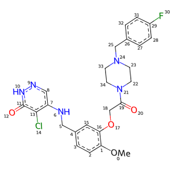 COc1ccc(CNc2cn[nH]c(=O)c2Cl)cc1OCC(=O)N1CCN(Cc2ccc(F)cc2)CC1